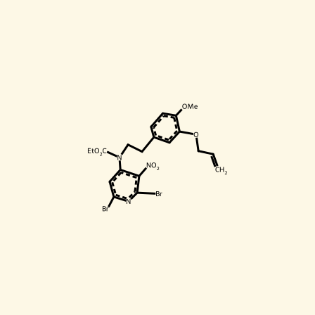 C=CCOc1cc(CCN(C(=O)OCC)c2cc(Br)nc(Br)c2[N+](=O)[O-])ccc1OC